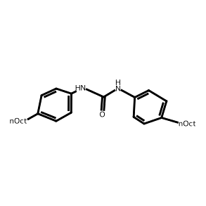 CCCCCCCCc1ccc(NC(=O)Nc2ccc(CCCCCCCC)cc2)cc1